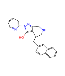 Oc1c2c(nn1-c1ccccn1)CNCC2Cc1ccc2ccccc2c1